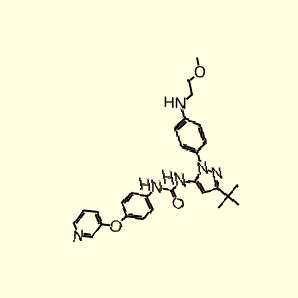 COCCNc1ccc(-n2nc(C(C)(C)C)cc2NC(=O)Nc2ccc(Oc3cccnc3)cc2)cc1